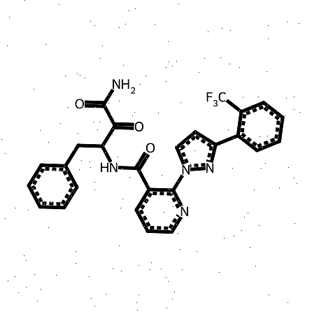 NC(=O)C(=O)C(Cc1ccccc1)NC(=O)c1cccnc1-n1ccc(-c2ccccc2C(F)(F)F)n1